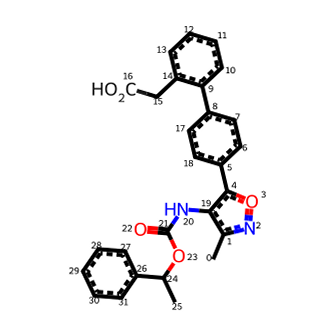 Cc1noc(-c2ccc(-c3ccccc3CC(=O)O)cc2)c1NC(=O)OC(C)c1ccccc1